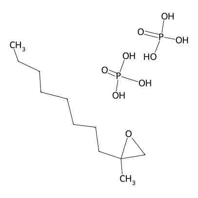 CCCCCCCCC1(C)CO1.O=P(O)(O)O.O=P(O)(O)O